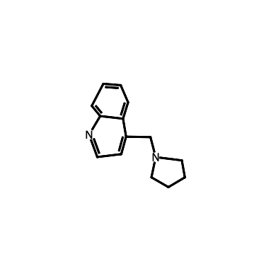 c1ccc2c(CN3CCCC3)ccnc2c1